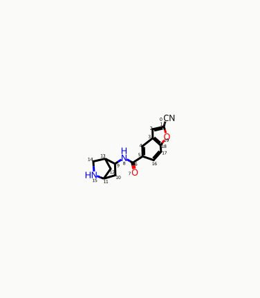 N#Cc1cc2cc(C(=O)NC3CC4CC3CN4)ccc2o1